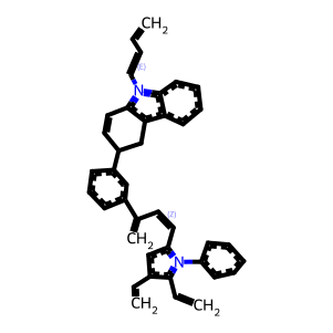 C=C/C=C/n1c2c(c3ccccc31)CC(c1cccc(C(=C)/C=C\c3cc(C=C)c(C=C)n3-c3ccccc3)c1)C=C2